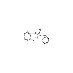 Cc1cccc(C)[n+]1OS(=O)(=O)C1CC2C=CC1C2